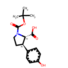 CC(C)(C)OC(=O)N1CC[C@H](c2ccc(O)cc2)[C@H]1C(=O)O